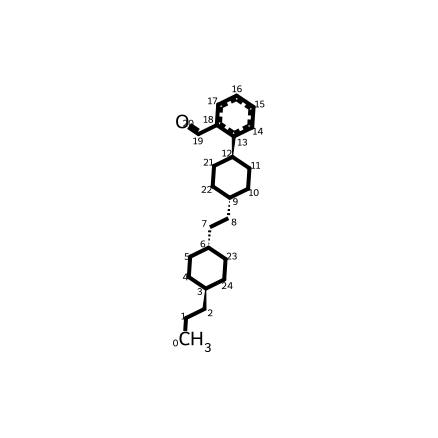 CCC[C@H]1CC[C@H](CC[C@H]2CC[C@H](c3ccccc3C=O)CC2)CC1